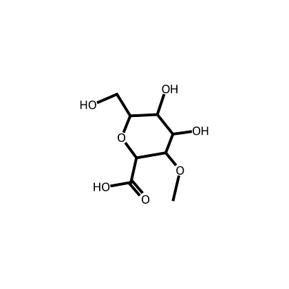 COC1C(C(=O)O)OC(CO)C(O)C1O